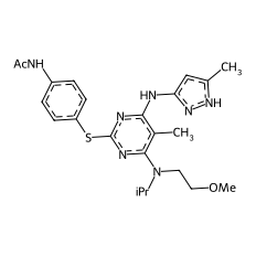 COCCN(c1nc(Sc2ccc(NC(C)=O)cc2)nc(Nc2cc(C)[nH]n2)c1C)C(C)C